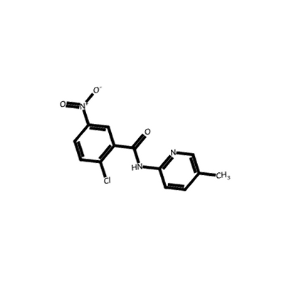 Cc1ccc(NC(=O)c2cc([N+](=O)[O-])ccc2Cl)nc1